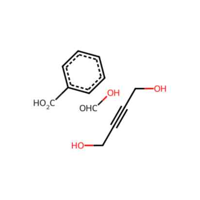 O=C(O)c1ccccc1.O=CO.OCC#CCO